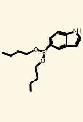 CCCCOB(OCCCC)c1ccc2[nH]ccc2c1